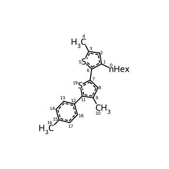 CCCCCCc1cc(C)sc1-c1cc(C)c(-c2ccc(C)cc2)s1